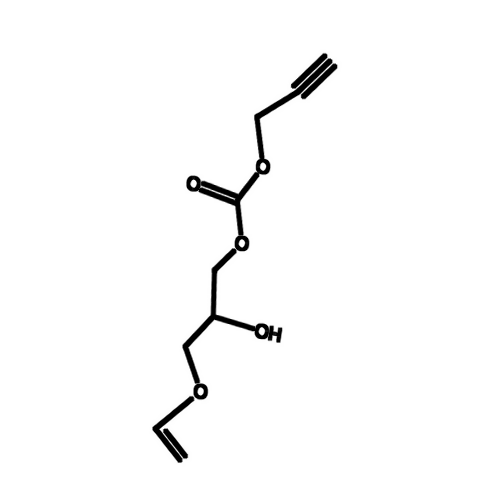 C#CCOC(=O)OCC(O)COC=C